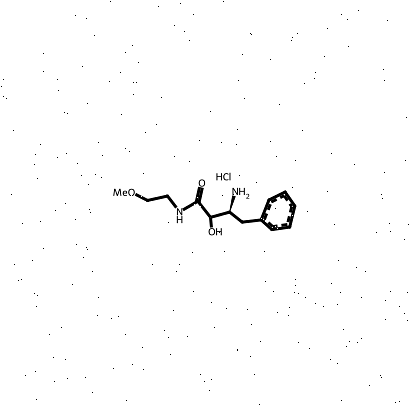 COCCNC(=O)C(O)[C@@H](N)Cc1ccccc1.Cl